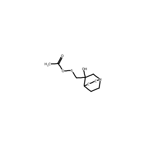 CC(=O)OSCC1(O)CN2CCC1CC2